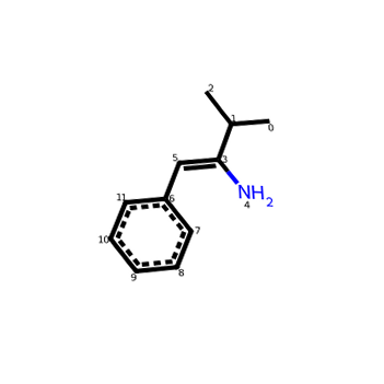 CC(C)C(N)=Cc1ccccc1